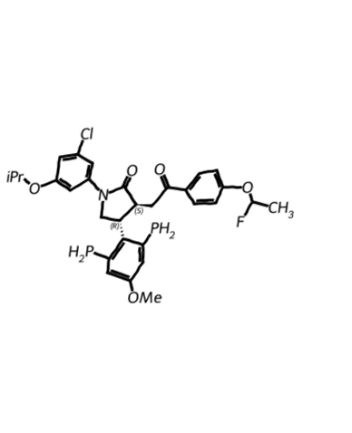 COc1cc(P)c([C@@H]2CN(c3cc(Cl)cc(OC(C)C)c3)C(=O)[C@H]2CC(=O)c2ccc(OC(C)F)cc2)c(P)c1